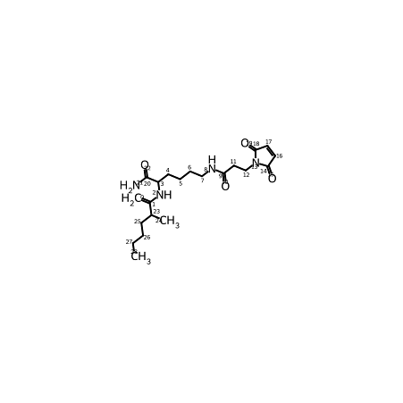 C=C(NC(CCCCNC(=O)CCN1C(=O)C=CC1=O)C(N)=O)C(C)CCCC